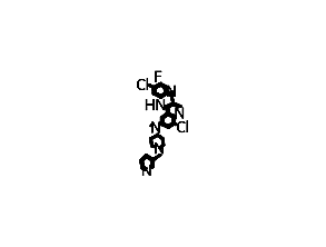 CN(c1cc(Cl)c2ncc(C#N)c(Nc3ccc(F)c(Cl)c3)c2c1)C1CCN(Cc2cccnc2)CC1